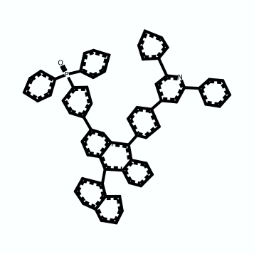 O=P(c1ccccc1)(c1ccccc1)c1ccc(-c2ccc3c(-c4cccc5ccccc45)c4ccccc4c(-c4ccc(-c5cc(-c6ccccc6)nc(-c6ccccc6)c5)cc4)c3c2)cc1